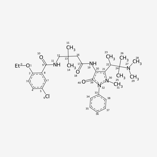 CCOc1ccc(Cl)cc1C(=O)NCC(C)(C)CC(=O)Nc1c(C(C)C(C)(C)N(C)C)n(C)n(-c2ccccc2)c1=O